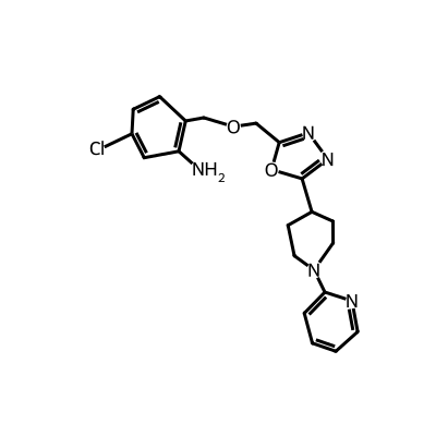 Nc1cc(Cl)ccc1COCc1nnc(C2CCN(c3ccccn3)CC2)o1